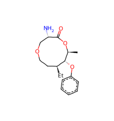 CC[C@H]1CCOC[C@H](N)C(=O)O[C@@H](C)[C@@H]1Oc1ccccc1